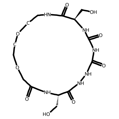 O=C1COCCOCCNC(=O)[C@@H](CO)NC(=O)NC(=O)NNC(=O)[C@H](CO)N1